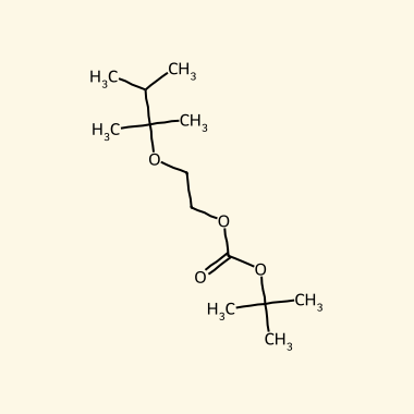 CC(C)C(C)(C)OCCOC(=O)OC(C)(C)C